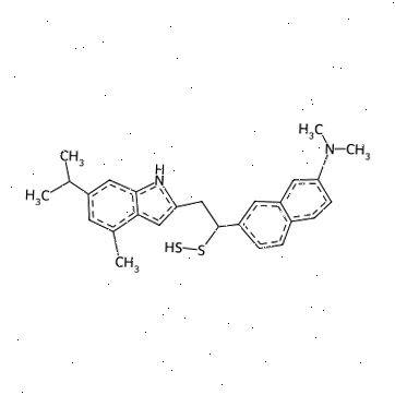 Cc1cc(C(C)C)cc2[nH]c(CC(SS)c3ccc4ccc(N(C)C)cc4c3)cc12